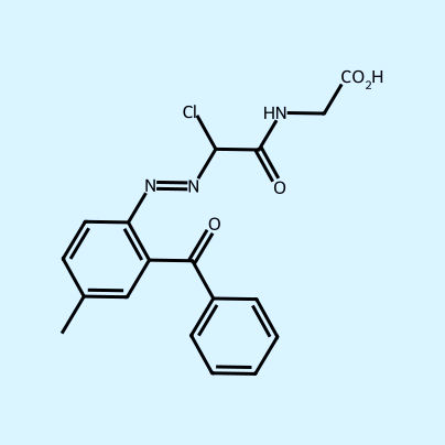 Cc1ccc(N=NC(Cl)C(=O)NCC(=O)O)c(C(=O)c2ccccc2)c1